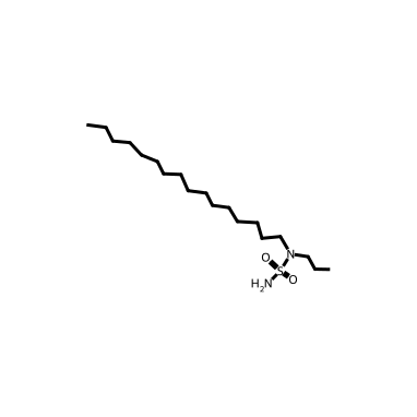 CCCCCCCCCCCCCCCCN(CCC)S(N)(=O)=O